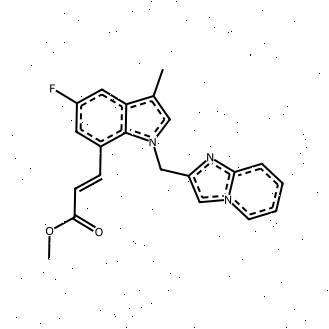 COC(=O)C=Cc1cc(F)cc2c(C)cn(Cc3cn4ccccc4n3)c12